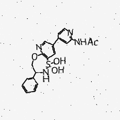 CC(=O)Nc1cc(-c2cnc3c(c2)S(O)(O)NC(c2ccccc2)CO3)ccn1